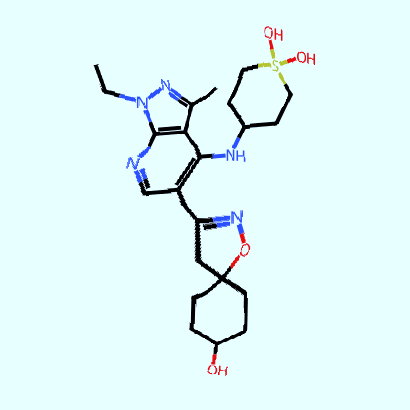 CCn1nc(C)c2c(NC3CCS(O)(O)CC3)c(C3=NOC4(CCC(O)CC4)C3)cnc21